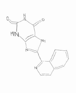 O=c1[nH]c(=O)c2[nH]c(-c3nccc4ccccc34)nc2[nH]1